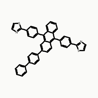 c1ccc(-c2ccc(-c3ccc4c(-c5ccc(-c6nccs6)cc5)c5ccccc5c(-c5ccc(-c6nccs6)cc5)c4c3)cc2)cc1